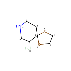 C1CC2(CCN1)SCCS2.Cl